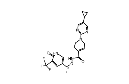 C[C@@H](ONC(=O)C1=CCN(c2ncc(C3CC3)cn2)CC1)c1c[nH]c(=O)c(C(F)(F)F)c1